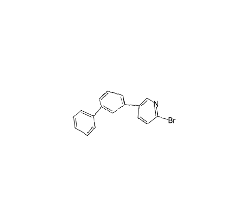 Brc1ccc(-c2cccc(-c3ccccc3)c2)cn1